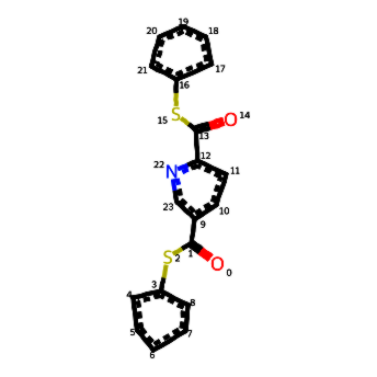 O=C(Sc1ccccc1)c1ccc(C(=O)Sc2ccccc2)nc1